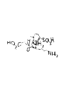 Cc1ccc(S(=O)(=O)O)cc1.NCCCC[C@H](N)C(=O)NCCC(=O)O